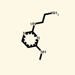 CNc1ccnc(NCCN)n1